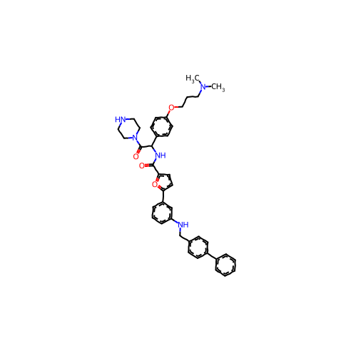 CN(C)CCCOc1ccc(C(NC(=O)c2ccc(-c3cccc(NCc4ccc(-c5ccccc5)cc4)c3)o2)C(=O)N2CCNCC2)cc1